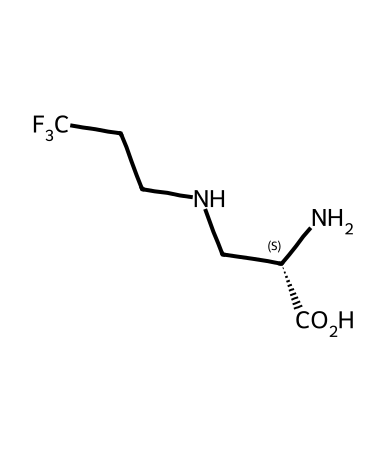 N[C@@H](CNCCC(F)(F)F)C(=O)O